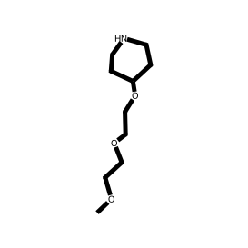 COCCOCCOC1CCNCC1